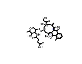 C=C1C[C@@](O)(C(=O)CO)C[C@H](OOC2COC(C)C(O)C2NC(=O)CCC(=O)O)C/C(O)=C2/C(=O)c3c(C)cccc3C(=O)/C2=C/1O